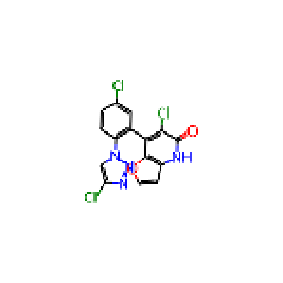 O=c1[nH]c2ccoc2c(-c2cc(Cl)ccc2-n2cc(Cl)nn2)c1Cl